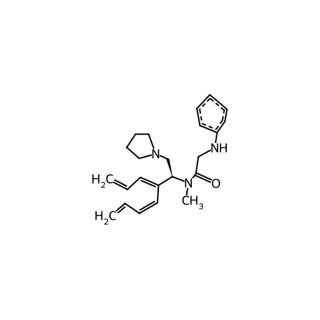 C=C/C=C\C(=C/C=C)[C@@H](CN1CCCC1)N(C)C(=O)CNc1ccccc1